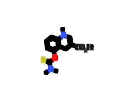 CCOC(=O)C1=CN(C)c2cccc(OC(=S)N(C)C)c2C1